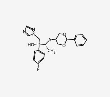 C[C@@H](S[C@H]1CO[C@@H](c2ccccc2)OC1)[C@](O)(Cn1cncn1)c1ccc(F)cc1